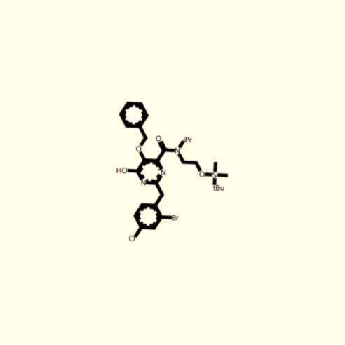 CC(C)N(CCO[Si](C)(C)C(C)(C)C)C(=O)c1nc(Cc2ccc(Cl)cc2Br)nc(O)c1OCc1ccccc1